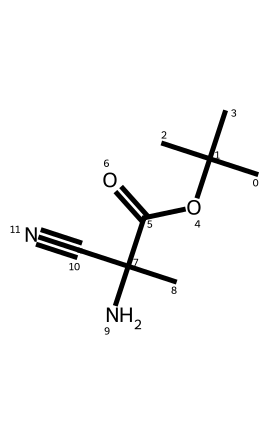 CC(C)(C)OC(=O)C(C)(N)C#N